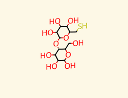 OCC1OC(O)[C@@H](O)C(O)[C@@H]1O[C@@H]1OC(CS)[C@H](O)C(O)[C@@H]1O